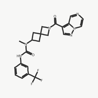 CN(C(=O)Nc1cccc(C(F)(F)F)c1)C1CC2(C1)CN(C(=O)c1cnn3ccncc13)C2